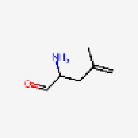 C=C(C)C[C@H](N)C=O